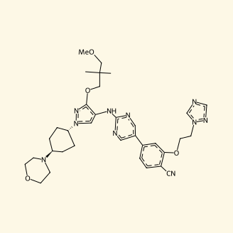 COCC(C)(C)COc1nn([C@H]2CC[C@H](N3CCOCC3)CC2)cc1Nc1ncc(-c2ccc(C#N)c(OCCn3cncn3)c2)cn1